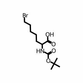 CC(C)(C)OC(=O)NC(CCCCCBr)C(=O)O